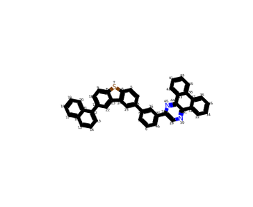 c1cc(-c2ccc3sc4ccc(-c5cccc6ccccc56)cc4c3c2)cc(-c2cnc3c4ccccc4c4ccccc4c3n2)c1